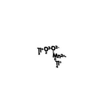 [Mn+2].[O-2].[O-2].[Tl+].[Tl+]